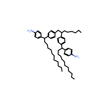 CCCCCCCCCCCC(c1ccc(N)cc1)c1ccc(CC(CCCCCC)c2ccc(C(CCCCCCCCCCC)c3ccc(N)cc3)cc2)cc1